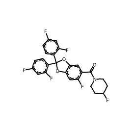 O=C(c1cc2c(cc1F)OC(c1ccc(F)cc1F)(c1ccc(F)cc1F)O2)N1CCC(F)CC1